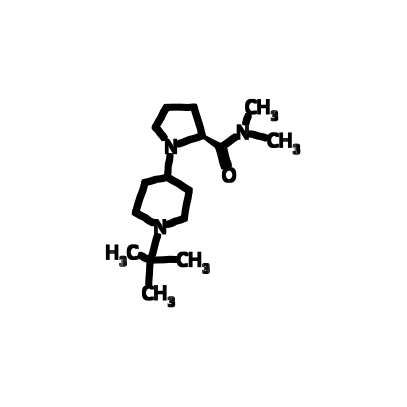 CN(C)C(=O)[C@@H]1CCCN1C1CCN(C(C)(C)C)CC1